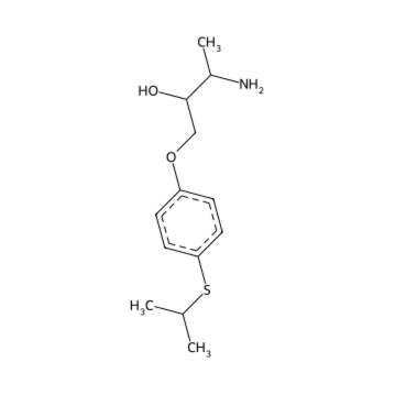 CC(C)Sc1ccc(OCC(O)C(C)N)cc1